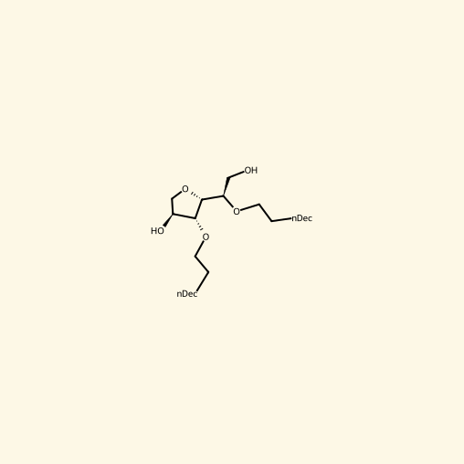 CCCCCCCCCCCCO[C@H]1[C@@H]([C@@H](CO)OCCCCCCCCCCCC)OC[C@@H]1O